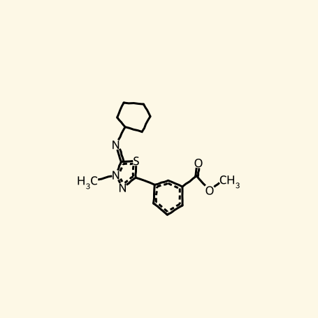 COC(=O)c1cccc(-c2nn(C)c(=NC3CCCCC3)s2)c1